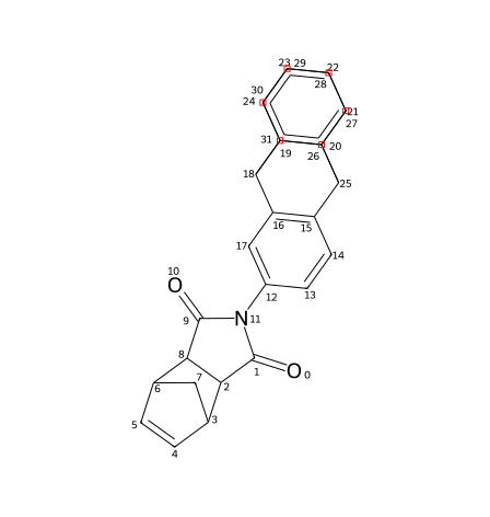 O=C1C2C3C=CC(C3)C2C(=O)N1c1ccc2c(c1)C1C3=C(CCC=C3)C2c2ccccc21